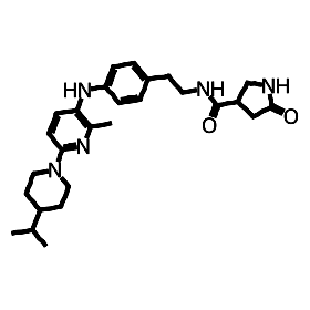 Cc1nc(N2CCC(C(C)C)CC2)ccc1Nc1ccc(CCNC(=O)C2CNC(=O)C2)cc1